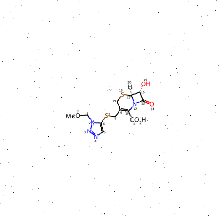 COCn1nncc1SCC1=C(C(=O)O)N2C(=O)[C@@H](O)[C@@H]2SC1